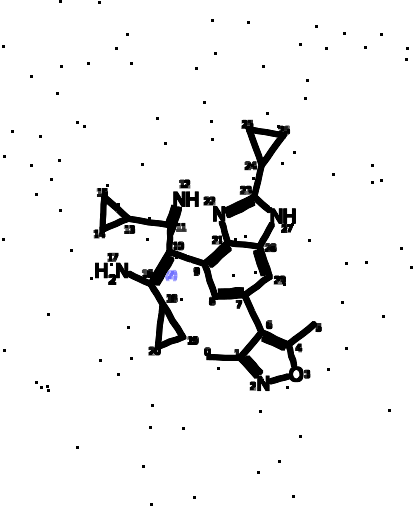 Cc1noc(C)c1-c1cc(/C(C(=N)C2CC2)=C(/N)C2CC2)c2nc(C3CC3)[nH]c2c1